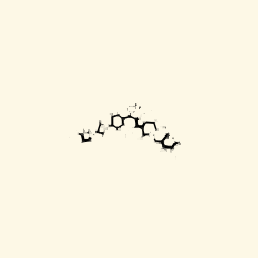 CS(=O)(=O)O.Cc1ccn(C2CN(C3CCC([C@@H](C)c4sc5c(c4C)C(=O)N(Cc4c(C)cc(C)[nH]c4=O)CC5)CC3)C2)n1